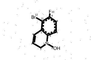 ON1CC=Cc2c1ccc(F)c2Br